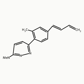 C=C/C=C/c1ccc(-c2ccc(NC)nn2)c(C)c1